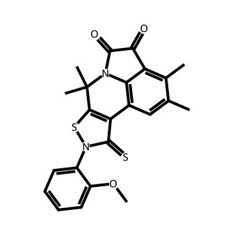 COc1ccccc1-n1sc2c(c1=S)-c1cc(C)c(C)c3c1N(C(=O)C3=O)C2(C)C